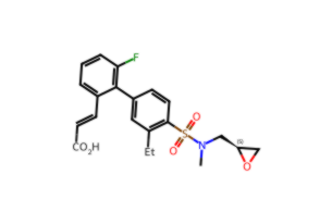 CCc1cc(-c2c(F)cccc2C=CC(=O)O)ccc1S(=O)(=O)N(C)C[C@H]1CO1